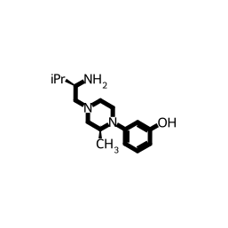 CC(C)[C@@H](N)CN1CCN(c2cccc(O)c2)[C@@H](C)C1